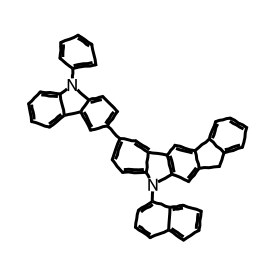 c1ccc(-n2c3ccccc3c3cc(-c4ccc5c(c4)c4cc6c(cc4n5-c4cccc5ccccc45)Cc4ccccc4-6)ccc32)cc1